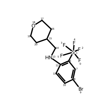 FS(F)(F)(F)(F)c1cc(Br)ccc1NCC1CCOCC1